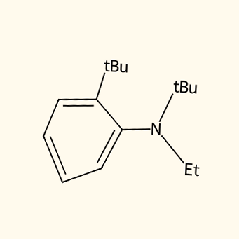 CCN(c1ccccc1C(C)(C)C)C(C)(C)C